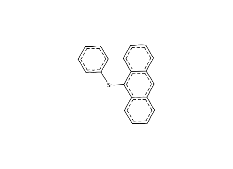 c1ccc(Sc2c3ccccc3cc3ccccc23)cc1